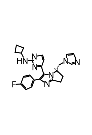 Fc1ccc(-c2nc3n(c2-c2ccnc(NC4CCC4)n2)[C@H](Cn2ccnc2)CC3)cc1